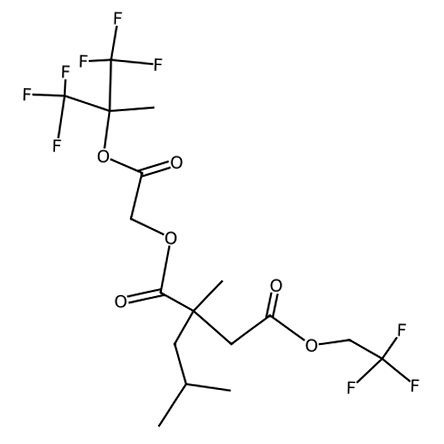 CC(C)CC(C)(CC(=O)OCC(F)(F)F)C(=O)OCC(=O)OC(C)(C(F)(F)F)C(F)(F)F